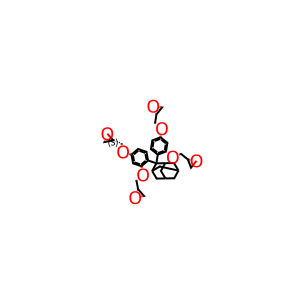 c1cc(C2(c3ccc(OC[C@@H]4CO4)cc3OCC3CO3)C3CC4CC(C3)CC2C4)c(OCC2CO2)cc1OCC1CO1